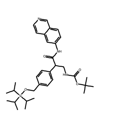 CC(C)[Si](OCc1ccc(C(CNC(=O)OC(C)(C)C)C(=O)Nc2ccc3cnccc3c2)cc1)(C(C)C)C(C)C